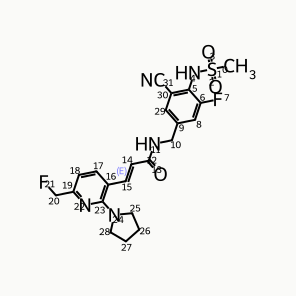 CS(=O)(=O)Nc1c(F)cc(CNC(=O)/C=C/c2ccc(CF)nc2N2CCCC2)cc1C#N